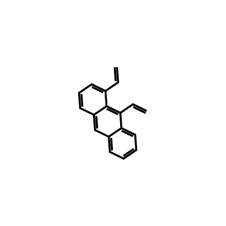 C=Cc1cccc2cc3ccccc3c(C=C)c12